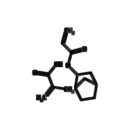 C=C(C)C(=O)O.C=CC(=O)OC1CC2CCC1C2